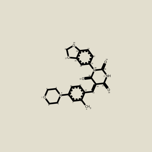 Cc1cc(N2CCOCC2)ccc1/C=C1/C(=O)NC(=O)N(c2ccc3c(c2)OCO3)C1=O